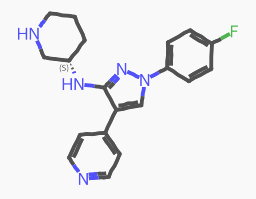 Fc1ccc(-n2cc(-c3ccncc3)c(N[C@H]3CCCNC3)n2)cc1